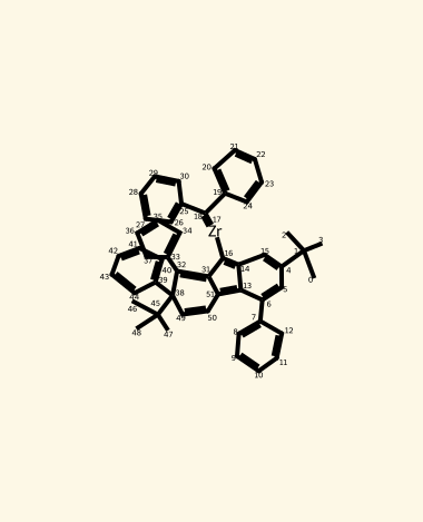 CC(C)(C)c1cc(-c2ccccc2)c2c(c1)=[C]([Zr]=[C](c1ccccc1)c1ccccc1)C1=C(C3=CC=CC3)C(c3ccccc3)(C(C)(C)C)C=CC=21